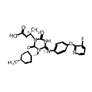 C[C@@H](CC(=O)O)n1c(=O)[nH]/c(=N\c2ccc(Oc3ncccc3F)cc2)n(C[C@H]2CC[C@H](C)CC2)c1=O